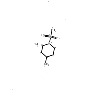 CS(=O)(=O)N1CCC(N)CC1.Cl